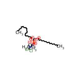 CCCCC/C=C\C/C=C\C/C=C\C/C=C\CCCC(=O)O[C@H](COC(=O)CCCCCCCCCCCCCCC)COP(=O)(O)OCC[N+](C)(C)C.ClCCl